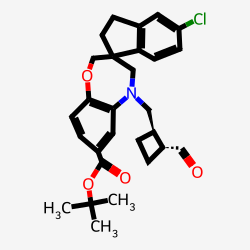 CC(C)(C)OC(=O)c1ccc2c(c1)N(C[C@@H]1CC[C@H]1C=O)CC1(CCc3cc(Cl)ccc31)CO2